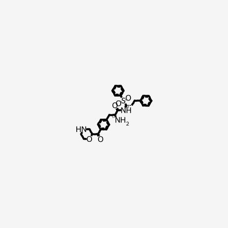 N[C@@H](Cc1ccc(C(=O)C2CNCCO2)cc1)C(=O)N[C@@H](CCc1ccccc1)S(=O)(=O)c1ccccc1